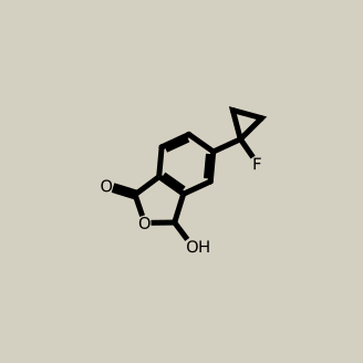 O=C1OC(O)c2cc(C3(F)CC3)ccc21